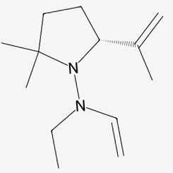 C=CN(CC)N1[C@@H](C(=C)C)CCC1(C)C